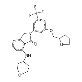 O=C1c2c(cccc2NC2CCOCC2)CN1c1cc(OCC2CCCO2)cc(C(F)(F)F)c1